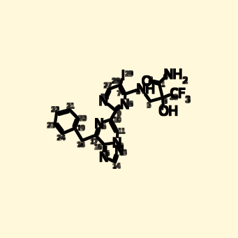 NC(=O)C(O)(CNc1nc(-c2cn3ncnc3c(Cc3ccccc3)n2)ncc1I)C(F)(F)F